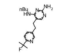 CCCCNc1nc(N)ncc1CCc1ccc(C(C)(C)F)nc1